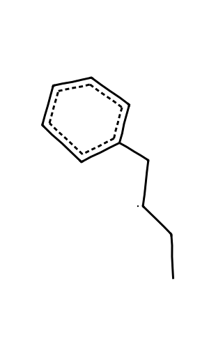 CC[CH]Cc1ccccc1